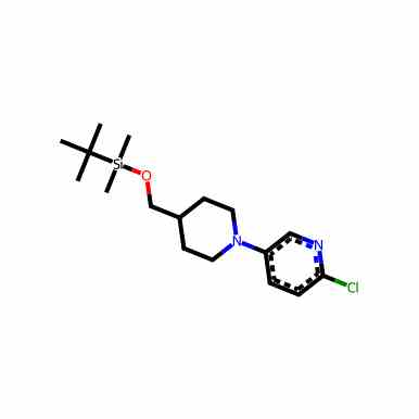 CC(C)(C)[Si](C)(C)OCC1CCN(c2ccc(Cl)nc2)CC1